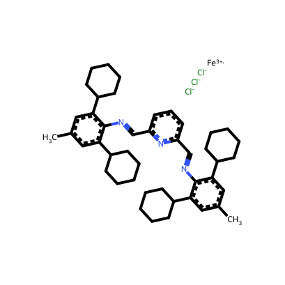 Cc1cc(C2CCCCC2)c(N=Cc2cccc(C=Nc3c(C4CCCCC4)cc(C)cc3C3CCCCC3)n2)c(C2CCCCC2)c1.[Cl-].[Cl-].[Cl-].[Fe+3]